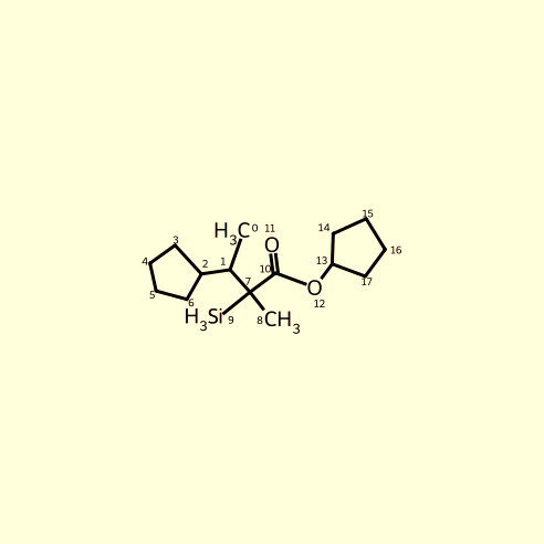 CC(C1CCCC1)C(C)([SiH3])C(=O)OC1CCCC1